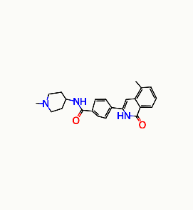 Cc1cccc2c(=O)[nH]c(-c3ccc(C(=O)NC4CCN(C)CC4)cc3)cc12